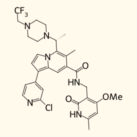 COc1cc(C)[nH]c(=O)c1CNC(=O)c1cc2c(-c3ccnc(Cl)c3)ccn2c([C@@H](C)N2CCN(CC(F)(F)F)CC2)c1C